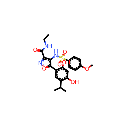 CCNC(=O)c1noc(-c2cc(C(C)C)c(O)cc2O)c1NS(=O)(=O)c1ccc(OC)cc1